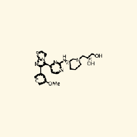 COc1cccc(-c2nc3sccn3c2-c2ccnc(N[C@@H]3CCCN(C[C@@H](O)CO)C3)n2)c1